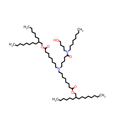 CCCCCCCCC(CCCCCC)COC(=O)CCCCCCCN(CCCCCCCC(=O)OCC(CCCCCC)CCCCCCCC)CCCCC(=O)N(CCCCO)CCCCCCCC